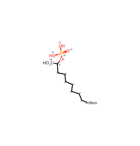 CCCCCCCCCCCCCCCCC(OP(=O)(O)O)C(=O)O